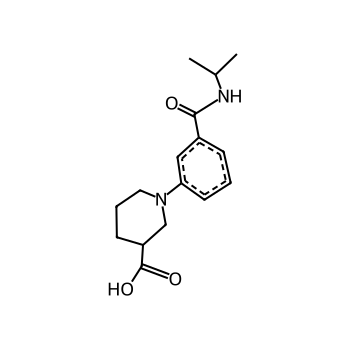 CC(C)NC(=O)c1cccc(N2CCCC(C(=O)O)C2)c1